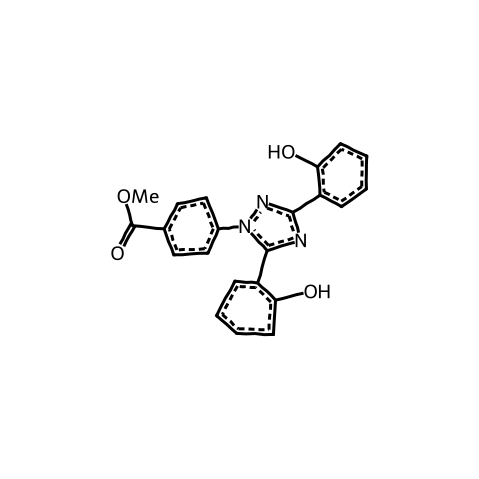 COC(=O)c1ccc(-n2nc(-c3ccccc3O)nc2-c2ccccc2O)cc1